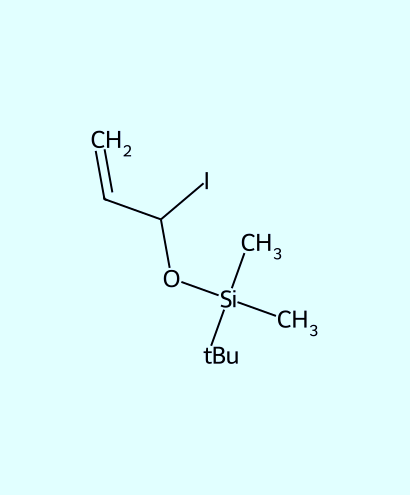 C=CC(I)O[Si](C)(C)C(C)(C)C